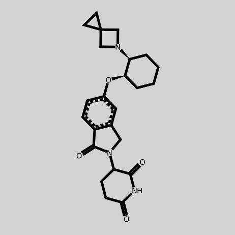 O=C1CCC(N2Cc3cc(O[C@@H]4CCCC[C@@H]4N4CC5(CC5)C4)ccc3C2=O)C(=O)N1